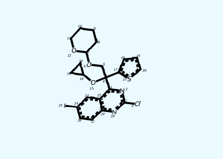 Clc1nc(C(COC2CCCCO2)(OC2CC2)c2cccs2)c2cc(I)ccc2n1